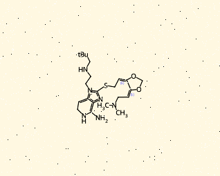 CN(C)C/C=C1/OCO/C1=C/CSc1nc2c(n1CCNCC(C)(C)C)=CCNC=2N